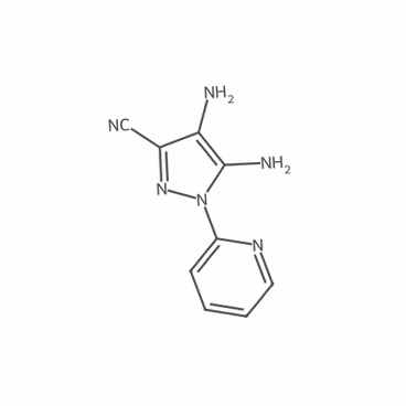 N#Cc1nn(-c2ccccn2)c(N)c1N